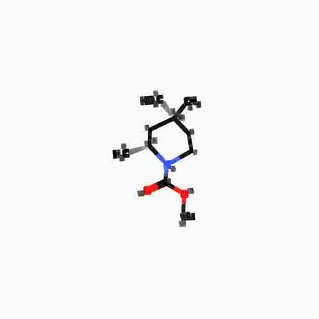 C[C@@H]1C[C@](C)(C(=O)O)CCN1C(=O)OC(C)(C)C